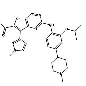 CC(C)Oc1cc(C2CCN(C)CC2)ccc1Nc1ncc2sc(C(N)=O)c(-c3ccn(C)n3)c2n1